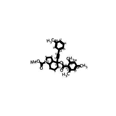 COC(=O)N1CCC2C1CCCC2(C#Cc1cccc(C)c1)OC(=O)c1c(C)cc(C)cc1C